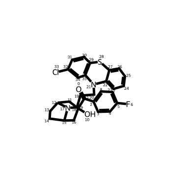 O=C(c1ccc(F)cc1)C1(O)CC2CCC(C1)N2CCCN1c2ccccc2Sc2ccc(Cl)cc21